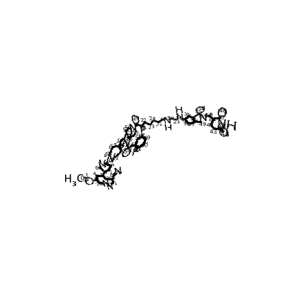 CCOc1cc(-c2ccc(N3CCC(CN4CCN(C(=O)CCCCCCNCCNc5ccc6c(c5)C(=O)/[N+](=C/C5CCC(=O)NC5=O)C6)CC4)(NC(=O)c4cc(F)ccc4F)CC3)nc2)c2c(C#N)cnn2c1